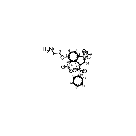 Cl.NCCOc1ccc2c(c1[N+](=O)[O-])C(S(=O)(=O)c1ccccc1)CS2(=O)=O